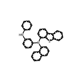 c1ccc(Nc2cccc(N(c3cccc4ccccc34)c3cccc4c3sc3ccccc34)c2)cc1